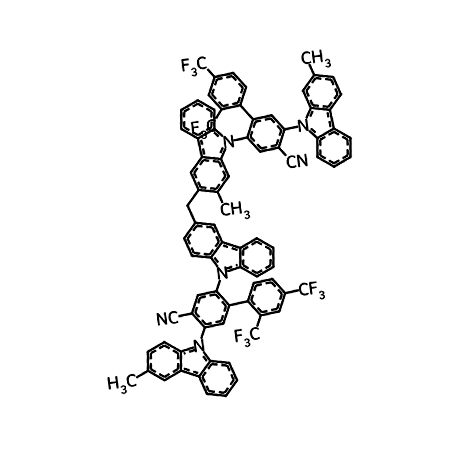 Cc1ccc2c(c1)c1ccccc1n2-c1cc(-c2ccc(C(F)(F)F)cc2C(F)(F)F)c(-n2c3ccccc3c3cc(Cc4cc5c6ccccc6n(-c6cc(C#N)c(-n7c8ccccc8c8ccc(C)cc87)cc6-c6ccc(C(F)(F)F)cc6C(F)(F)F)c5cc4C)ccc32)cc1C#N